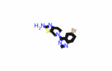 Nc1nc2c(s1)CN(c1ncnc3ccc(Br)cc13)CC2